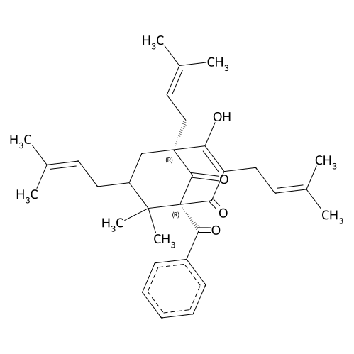 CC(C)=CCC1=C(O)[C@]2(CC=C(C)C)CC(CC=C(C)C)C(C)(C)[C@](C(=O)c3ccccc3)(C1=O)C2=O